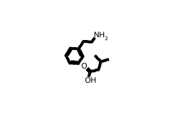 CC(C)CC(=O)O.NCCc1ccccc1